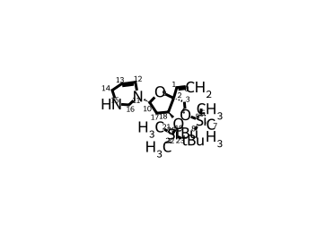 C=C[C@]1(CO[Si](C)(C)C(C)(C)C)O[C@@H](N2C=CCNC2)C[C@@H]1O[Si](C)(C)C(C)(C)C